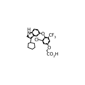 O=C(O)COc1cc(Cl)c(Oc2ccc3[nH]cc(C4CCCCC4)c3c2)c(C(F)(F)F)c1